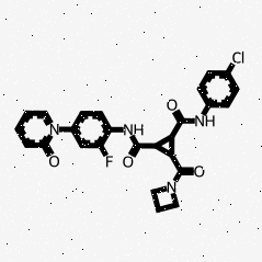 O=C(Nc1ccc(Cl)cc1)C1C(C(=O)Nc2ccc(-n3ccccc3=O)cc2F)C1C(=O)N1CCC1